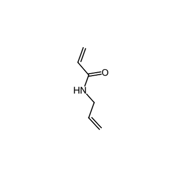 C=CCNC(=O)C=C